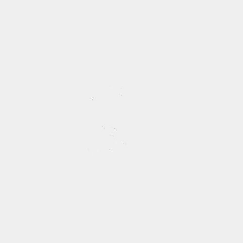 COc1cccc2c1nc(NCc1ccc(C)c(C)c1)n1nc(C3CC(c4ncc(C)cc4C#N)C3)nc21